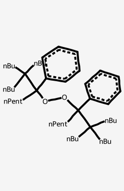 CCCCCC(OOC(CCCCC)(c1ccccc1)C(CCCC)(CCCC)CCCC)(c1ccccc1)C(CCCC)(CCCC)CCCC